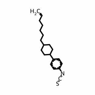 C=CCCCCCC1CCC(c2ccc(N=C=S)cc2)CC1